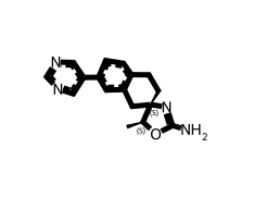 C[C@@H]1OC(N)=N[C@]12CCc1ccc(-c3cncnc3)cc1C2